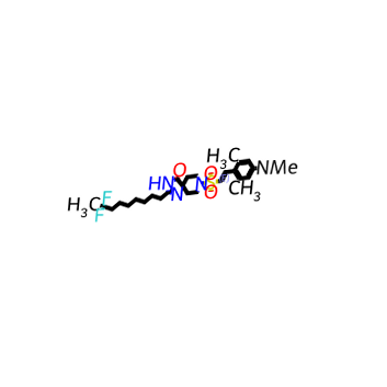 CNc1cc(C)c(/C=C/S(=O)(=O)N2CCC3(CC2)N=C(CCCCCCCC(C)(F)F)NC3=O)c(C)c1